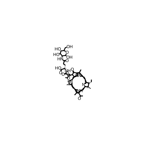 CC[C@H]1c2cc3[nH]c4c(c3C)C(=O)C(C(=O)OC)c4c3nc(cc4[nH]c(cc(n2)[C@@H]1C)c(C(C)=O)c4C)[C@@H](C)[C@@H]3CCC(=O)N[C@@H](CCC(=O)NC1C(O)OC(CO)C(O)C1O)C(=O)O